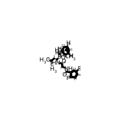 CC(C)C[C@H](NC(=O)CNC(=O)c1cc(F)ccc1F)B1O[C@@H]2C[C@@H]3C[C@@H](C3(C)C)[C@]2(C)O1